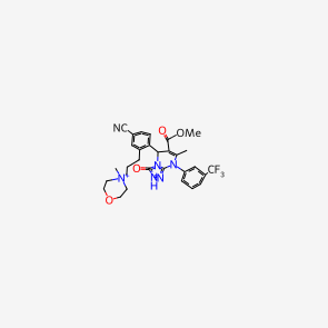 COC(=O)C1=C(C)N(c2cccc(C(F)(F)F)c2)c2n[nH]c(=O)n2C1c1ccc(C#N)cc1CCC[N+]1(C)CCOCC1